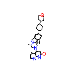 C[C@@H]1CN(c2cc(=O)n(C)c3ncccc23)C[C@@H]2c3ccc([C@H]4CC[C@H](C5CCOCC5)CC4)cc3CN12